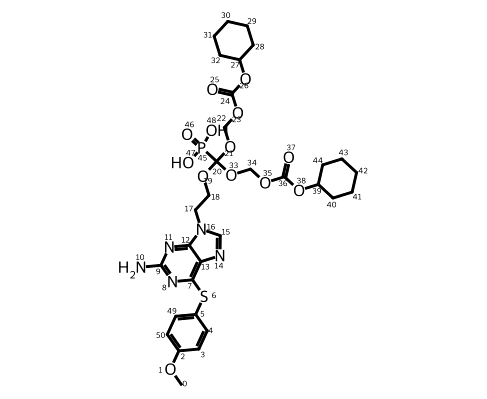 COc1ccc(Sc2nc(N)nc3c2ncn3CCOC(OCOC(=O)OC2CCCCC2)(OCOC(=O)OC2CCCCC2)P(=O)(O)O)cc1